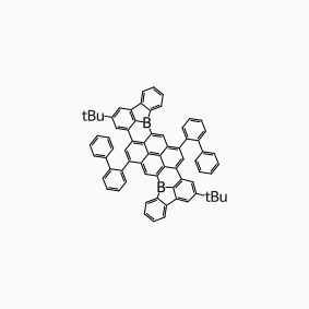 CC(C)(C)c1cc2c3c(c1)-c1cc(-c4ccccc4-c4ccccc4)c4cc5c6c(cc(-c7ccccc7-c7ccccc7)c7cc(c1c4c76)B3c1ccccc1-2)-c1cc(C(C)(C)C)cc2c1B5c1ccccc1-2